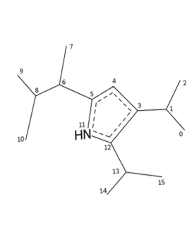 CC(C)c1cc(C(C)C(C)C)[nH]c1C(C)C